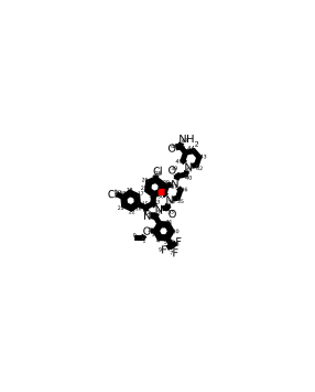 CCOc1cc(C(F)(F)F)ccc1C1=NC(c2ccc(Cl)cc2)C(c2ccc(Cl)cc2)N1C(=O)N1CCN(C(=O)CN2CCCC(C(N)=O)C2)CC1